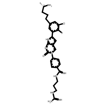 C[C@H](N)CCCc1cc(Cl)c(F)c(-c2cc3cn(-c4ccc(C(=N)NCCCNC(=N)N)cc4)c(=O)nc3[nH]2)c1